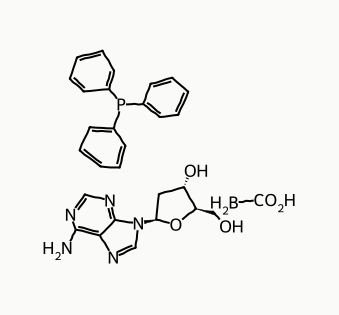 BC(=O)O.Nc1ncnc2c1ncn2[C@H]1C[C@H](O)[C@@H](CO)O1.c1ccc(P(c2ccccc2)c2ccccc2)cc1